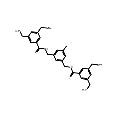 CNCc1cc(CNC)cc(C(=O)NCc2cc(C)cc(CNC(=O)c3cc(CNC)cc(CNC)c3)c2)c1